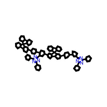 c1ccc(-c2nc(-c3ccccc3)nc(-c3cccc(-c4ccc(-c5ccc6c(c5)C5(c7ccccc7-c7ccccc75)c5cc(-c7ccc(-c8ccc(-c9ccc%10c(c9)C9(c%11ccccc%11-c%11ccccc%119)c9ccccc9-%10)cc8)c(-c8nc(-c9ccccc9)nc(-c9ccccc9)n8)c7)ccc5-6)cc4)c3)n2)cc1